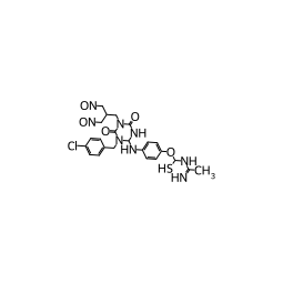 CC(=N)NC(S)Oc1ccc(NC2NC(=O)N(CC(CN=O)CN=O)C(=O)N2Cc2ccc(Cl)cc2)cc1